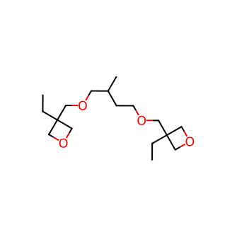 CCC1(COCCC(C)COCC2(CC)COC2)COC1